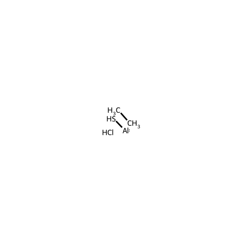 CC.Cl.[Al][SH]